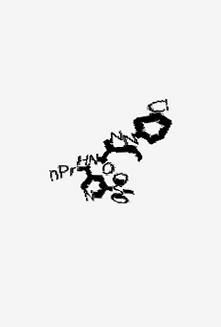 CCCC(NC(=O)c1cnn(-c2cccc(Cl)c2)c1C)c1cncc(S(C)(=O)=O)c1